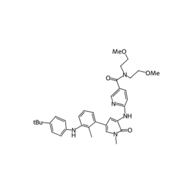 COCCN(CCOC)C(=O)c1ccc(Nc2cc(-c3cccc(Nc4ccc(C(C)(C)C)cc4)c3C)cn(C)c2=O)nc1